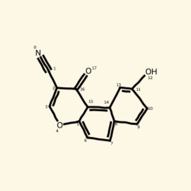 N#Cc1coc2ccc3ccc(O)cc3c2c1=O